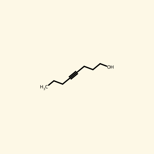 CCCC#CCCCO